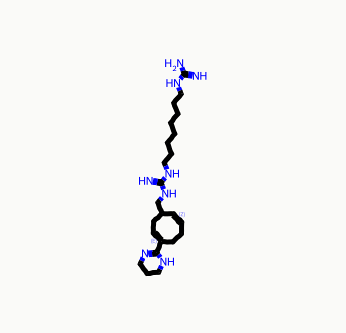 N=C(N)NCCCCCCCCNC(=N)NCC1/C=C\CC/C(C2=NCCCN2)=C\C1